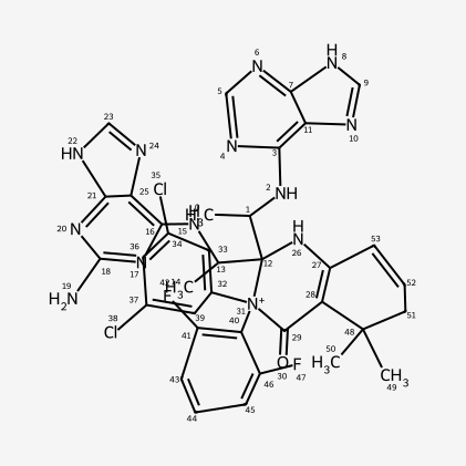 CC(Nc1ncnc2[nH]cnc12)C1(C(C)Nc2nc(N)nc3[nH]cnc23)NC2=C(C(=O)[N+]1(c1cc(Cl)cc(Cl)c1)c1c(F)cccc1F)C(C)(C)CC=C2